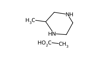 CC(=O)O.CC1CNCCN1